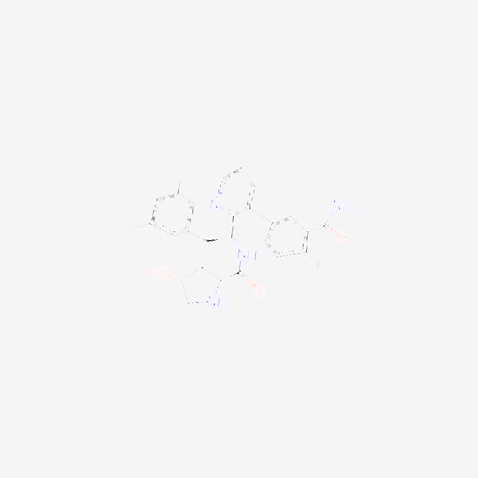 NC(=O)c1cc(-c2cccnc2[C@H](Cc2cc(F)cc(F)c2)NC(=O)[C@@H]2C[C@@H](O)CN2)ccc1F